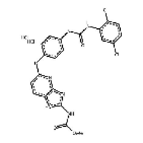 COC(=O)Nc1nc2nc(Oc3ccc(NC(=O)Nc4cc(Cl)ccc4Cl)cc3)ccc2[nH]1.Cl.Cl